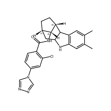 Cc1cc2c(cc1C)C1C(C[C@@H]3CC[C@H]1[C@@H]3NC(=O)c1ccc(-n3cnnc3)cc1Cl)N2